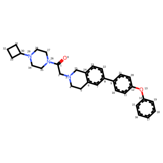 O=C(CN1CCc2cc(-c3ccc(Oc4ccccc4)cc3)ccc2C1)N1CCN(C2CCC2)CC1